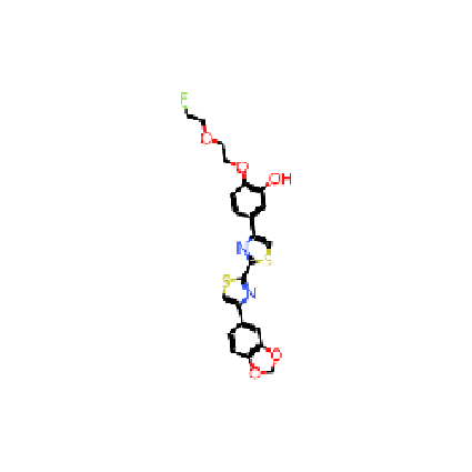 Oc1cc(-c2csc(-c3nc(-c4ccc5c(c4)OCO5)cs3)n2)ccc1OCCOCCF